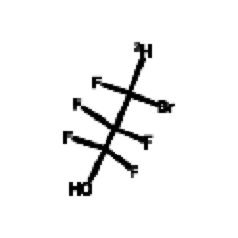 [2H]C(F)(Br)C(F)(F)C(O)(F)F